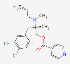 C=CCN(C)[C@](C)([CH]OC(=O)c1ccncc1)Cc1ccc(Cl)c(Cl)c1